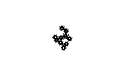 C1=Cc2c(c3ccccc3n2-c2ccc(-c3ccc4c(c3-c3ccc(-c5nc(-c6ccccc6)nc(-c6cccc(-c7ccccc7)c6)n5)cc3)=CCCC=4)cc2)CC1